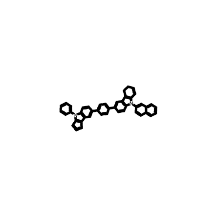 C1=Cc2c(n(-c3ccccc3)c3ccc(-c4ccc(-c5ccc6c(c5)c5c(n6-c6ccc7ccccc7c6)C=CCC5)cc4)cc23)C=1